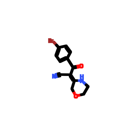 N#CC(C(=O)c1ccc(Br)cc1)=C1COCCN1